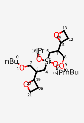 CCCCOCC(C[Si](CC(COCCCC)C1CCO1)(OC(C)C)OC(C)C)C1CCO1